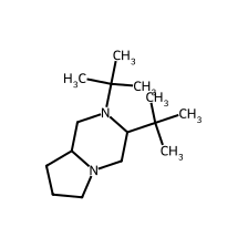 CC(C)(C)C1CN2CCCC2CN1C(C)(C)C